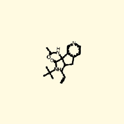 C=CCC1Cc2ccncc2C1(NC(C)=O)C(=O)NC(C)(C)C